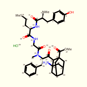 CN[C@@H](Cc1ccc(O)cc1)C(=O)N[C@H](CCSC)C(=O)NCC(=O)N(C)[C@@H](Cc1ccccc1)C(=O)C1C2(N)CC3CC(C2)CC1(C(=O)OC)C3.Cl